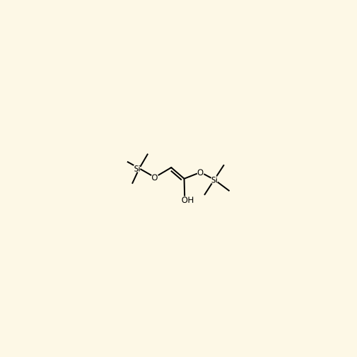 C[Si](C)(C)O/C=C(\O)O[Si](C)(C)C